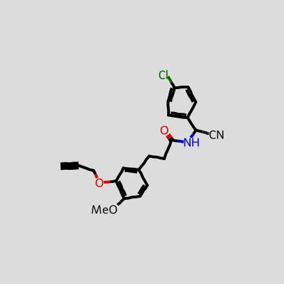 C#CCOc1cc(CCC(=O)NC(C#N)c2ccc(Cl)cc2)ccc1OC